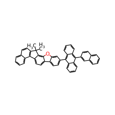 CC1(C)c2ccc3ccccc3c2-c2ccc3c(oc4cc(-c5c6ccccc6c(-c6ccc7ccccc7c6)c6ccccc56)ccc43)c21